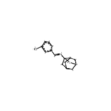 Oc1cccc(/C=N/C23CC4CC(CC2C4)C3)c1